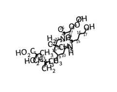 C=C(C)C(=O)O.C=C(C)C(=O)O.CC(CCNC(=O)CCCO)CC(C)(C)CNC(=O)COOO